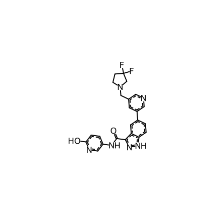 O=C(Nc1ccc(O)nc1)c1n[nH]c2ccc(-c3cncc(CN4CCC(F)(F)C4)c3)cc12